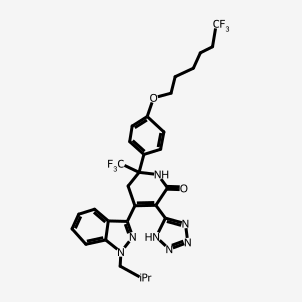 CC(C)Cn1nc(C2=C(c3nnn[nH]3)C(=O)NC(c3ccc(OCCCCCC(F)(F)F)cc3)(C(F)(F)F)C2)c2ccccc21